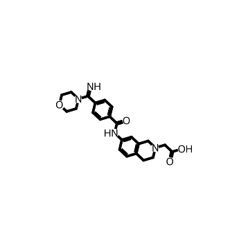 N=C(c1ccc(C(=O)Nc2ccc3c(c2)CN(CC(=O)O)CC3)cc1)N1CCOCC1